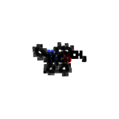 Cc1ccc2ccc(-c3nc(-c4ccccc4)cc(-c4ccccc4)n3)cc2c1OC(C)c1ccccc1